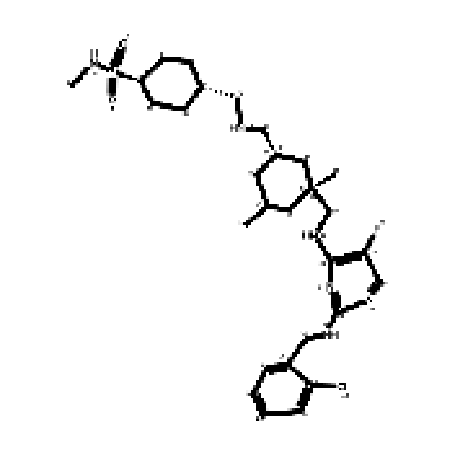 CNS(=O)(=O)[C@H]1CC[C@H](CNC[C@@H]2CC(C)C[C@@](C)(CNc3nc(NCc4ccccc4Cl)ncc3F)C2)CC1